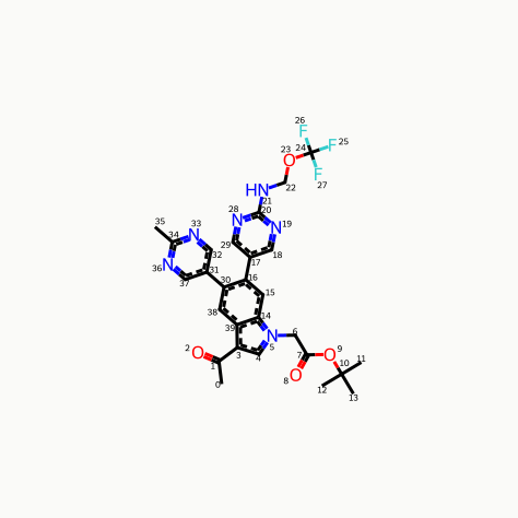 CC(=O)c1cn(CC(=O)OC(C)(C)C)c2cc(-c3cnc(NCOC(F)(F)F)nc3)c(-c3cnc(C)nc3)cc12